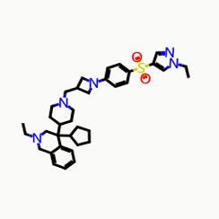 CCN1Cc2ccccc2C(C2CCCC2)(C2CCN(CC3CN(c4ccc(S(=O)(=O)c5cnn(CC)c5)cc4)C3)CC2)C1